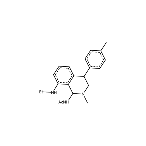 CCNc1cccc2c1C(NC(C)=O)N(C)CC2c1ccc(C)cc1